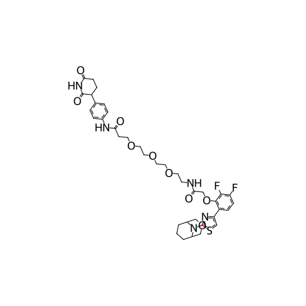 O=C(COc1c(-c2csc(N3C4CCCC3COC4)n2)ccc(F)c1F)NCCOCCOCCOCCC(=O)Nc1ccc(C2CCC(=O)NC2=O)cc1